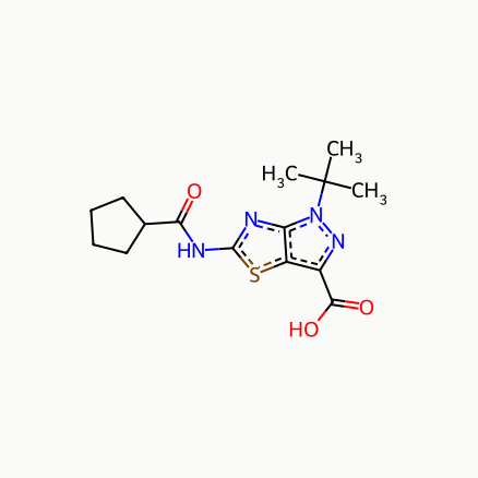 CC(C)(C)n1nc(C(=O)O)c2sc(NC(=O)C3CCCC3)nc21